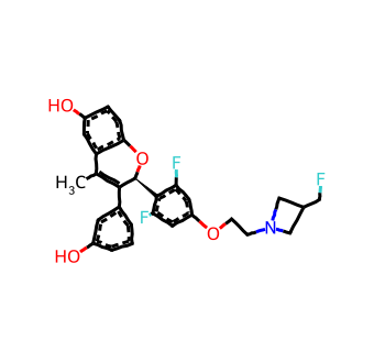 CC1=C(c2cccc(O)c2)[C@H](c2c(F)cc(OCCN3CC(CF)C3)cc2F)Oc2ccc(O)cc21